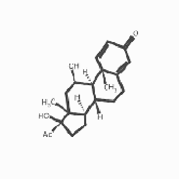 [CH2]C(=O)[C@]1(O)CC[C@@H]2[C@H]3CCC4=CC(=O)C=C[C@@]4(C)[C@@H]3[C@H](O)C[C@]21C